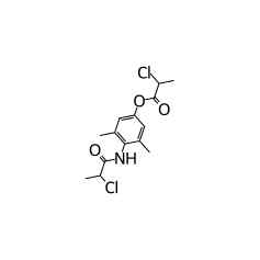 Cc1cc(OC(=O)C(C)Cl)cc(C)c1NC(=O)C(C)Cl